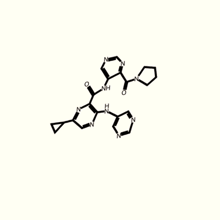 O=C(Nc1cncnc1C(=O)N1CCCC1)c1nc(C2CC2)cnc1Nc1cncnc1